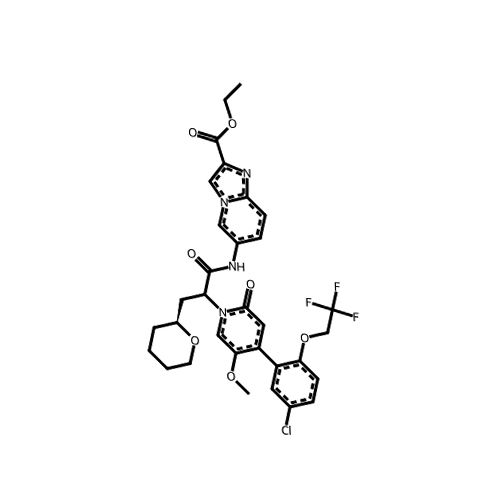 CCOC(=O)c1cn2cc(NC(=O)C(C[C@@H]3CCCCO3)n3cc(OC)c(-c4cc(Cl)ccc4OCC(F)(F)F)cc3=O)ccc2n1